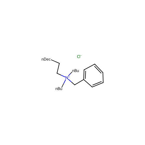 CCCCCCCCCCCC[N+](CCCC)(CCCC)Cc1ccccc1.[Cl-]